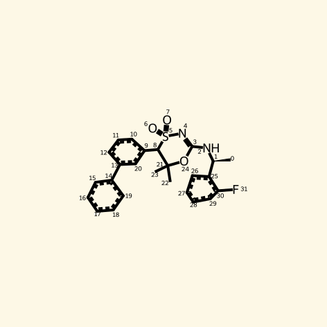 C[C@H](NC1=NS(=O)(=O)C(c2cccc(-c3ccccc3)c2)C(C)(C)O1)c1ccccc1F